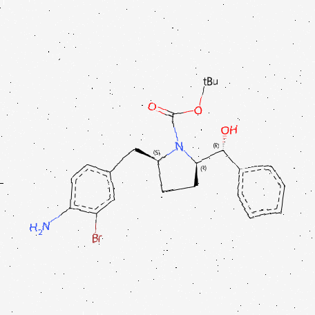 CC(C)(C)OC(=O)N1[C@H](Cc2ccc(N)c(Br)c2)CC[C@@H]1[C@H](O)c1ccccc1